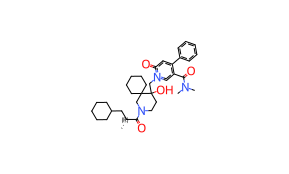 C[C@H](CC1CCCCC1)C(=O)N1CCC(O)(Cn2cc(C(=O)N(C)C)c(-c3ccccc3)cc2=O)C2(CCCCC2)C1